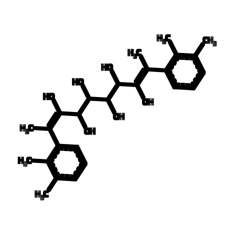 CC(=C(O)C(O)C(O)C(O)C(O)C(O)=C(C)c1cccc(C)c1C)c1cccc(C)c1C